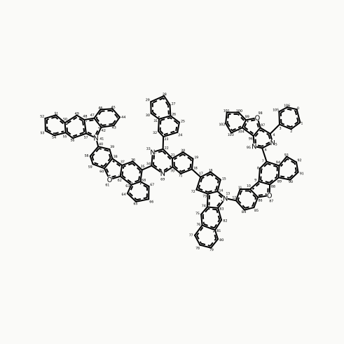 c1ccc(-c2nc(-c3cc4c5cc(-n6c7ccc(-c8ccc9c(-c%10ccc%11ccccc%11c%10)nc(-c%10cc%11c%12cc(-n%13c%14ccccc%14c%14cc%15ccccc%15cc%14%13)ccc%12oc%11c%11ccccc%10%11)nc9c8)cc7c7cc8ccccc8cc76)ccc5oc4c4ccccc34)nc3c2oc2ccccc23)cc1